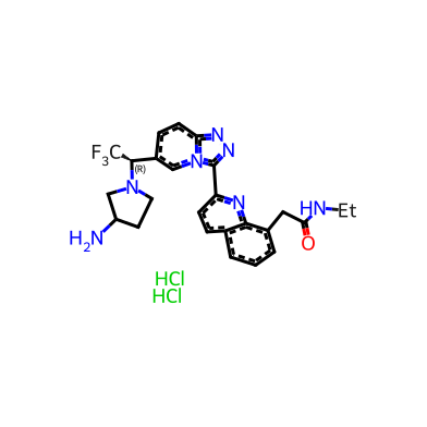 CCNC(=O)Cc1cccc2ccc(-c3nnc4ccc([C@@H](N5CCC(N)C5)C(F)(F)F)cn34)nc12.Cl.Cl